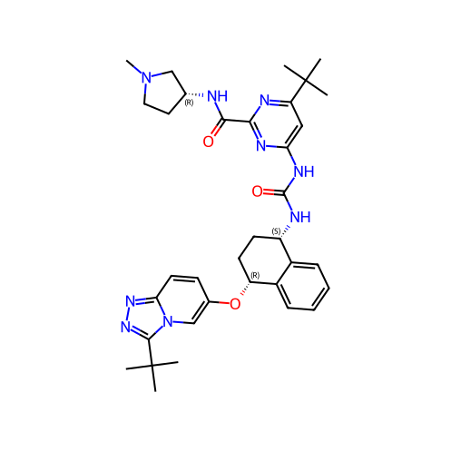 CN1CC[C@@H](NC(=O)c2nc(NC(=O)N[C@H]3CC[C@@H](Oc4ccc5nnc(C(C)(C)C)n5c4)c4ccccc43)cc(C(C)(C)C)n2)C1